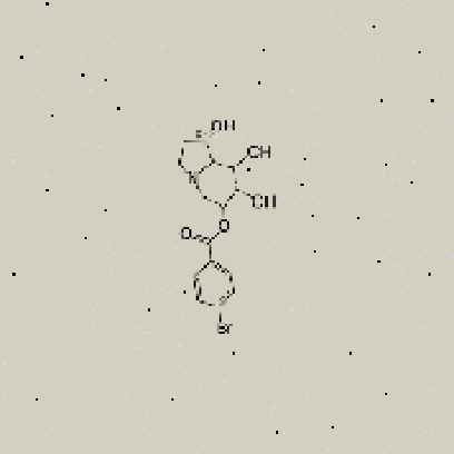 O=C(OC1CN2CC[C@H](O)C2C(O)C1O)c1ccc(Br)cc1